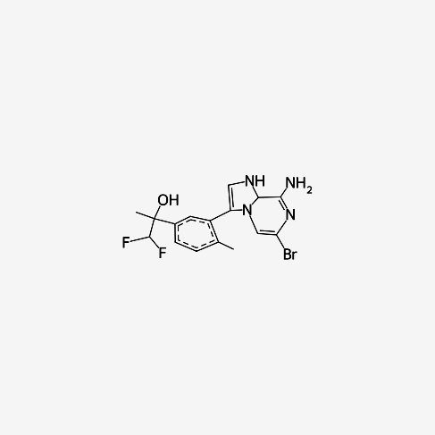 Cc1ccc(C(C)(O)C(F)F)cc1C1=CNC2C(N)=NC(Br)=CN12